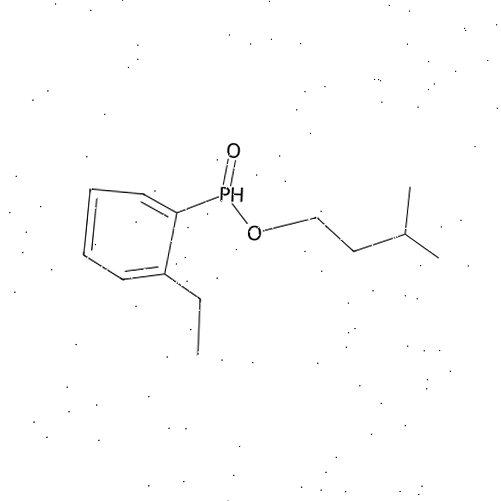 CCc1ccccc1[PH](=O)OCCC(C)C